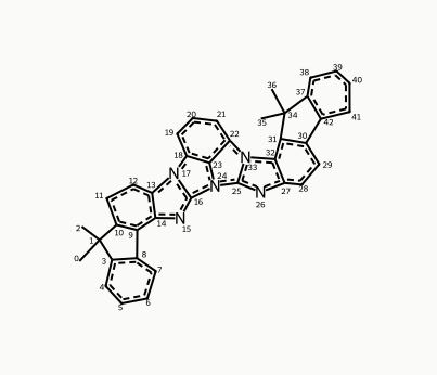 CC1(C)c2ccccc2-c2c1ccc1c2nc2n1c1cccc3c1n2c1nc2ccc4c(c2n31)C(C)(C)c1ccccc1-4